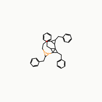 c1ccc(CC2C3CCCP4C(Cc5ccccc5)P4C45C(Cc6ccccc6)C4(C32)C5Cc2ccccc2)cc1